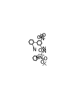 CN(c1cc(-c2nnc([C@@](C)(Cc3ccccc3)NC(=O)OC(C)(C)C)o2)cc(-c2ccccc2C#N)c1)S(C)(=O)=O